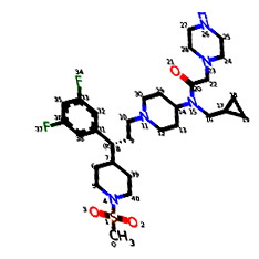 CS(=O)(=O)N1CCC([C@@H](CCN2CCC(N(CC3CC3)C(=O)CN3CCNCC3)CC2)c2cc(F)cc(F)c2)CC1